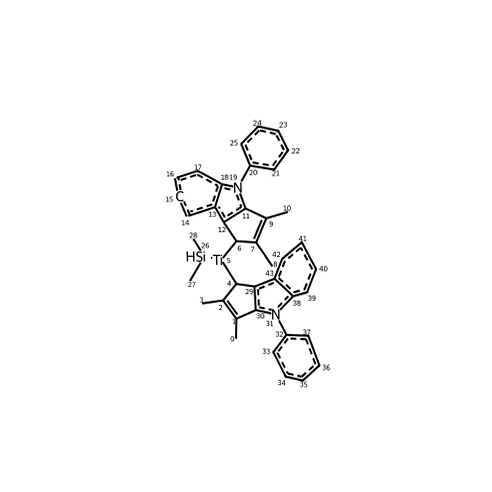 CC1=C(C)[CH]([Ti]([CH]2C(C)=C(C)c3c2c2ccccc2n3-c2ccccc2)[SiH](C)C)c2c1n(-c1ccccc1)c1ccccc21